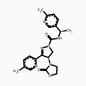 Cc1ccc(C2=NN(C(=O)N[C@H](C)c3ccc(C(F)(F)F)nc3)C[C@H]2N2CCOC2=O)nc1